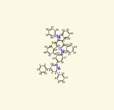 c1ccc(-c2cc(-c3ccccc3)nc(-c3ccc(-n4c5ccccc5c5c6c7ccccc7n(-c7ccccc7)c6c6sc7ccccc7c6c54)cc3)c2)cc1